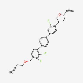 C#CCCOCc1ccc(-c2ccc(-c3ccc(C4CCC(CCCCCC)OC4)c(F)c3)cc2)c(F)c1F